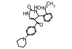 C=[N+]([O-])c1ccccc1C1NC(=O)NC=C1C(=O)c1ccc(N2CCCCC2)cc1